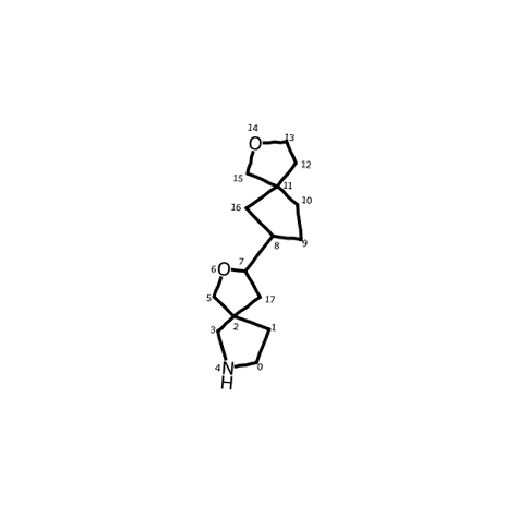 C1CC2(CN1)COC(C1CCC3(CCOC3)C1)C2